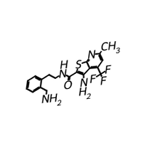 Cc1cc(C(F)(F)F)c2c(N)c(C(=O)NCCc3ccccc3CN)sc2n1